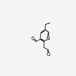 CCc1cnc(CC=O)c(C=O)c1